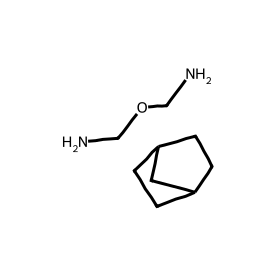 C1CC2CCC1C2.NCOCN